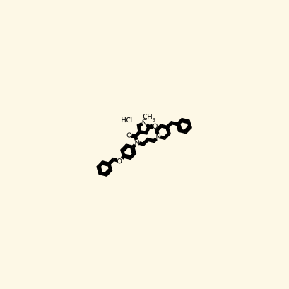 CN1CC(C(=O)N(CCCN2CCC(Cc3ccccc3)CC2)c2ccc(OCc3ccccc3)cc2)CC1=O.Cl